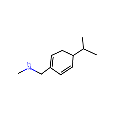 CNCC1=CCC(C(C)C)C=C1